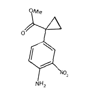 COC(=O)C1(c2ccc(N)c([N+](=O)[O-])c2)CC1